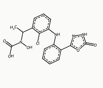 CC(c1cccc(Nc2ccccc2-c2n[nH]c(=O)o2)c1Cl)N(O)C(=O)O